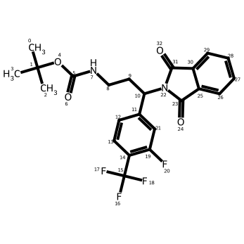 CC(C)(C)OC(=O)NCCC(c1ccc(C(F)(F)F)c(F)c1)N1C(=O)c2ccccc2C1=O